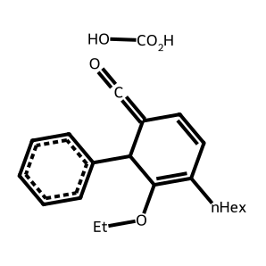 CCCCCCC1=C(OCC)C(c2ccccc2)C(=C=O)C=C1.O=C(O)O